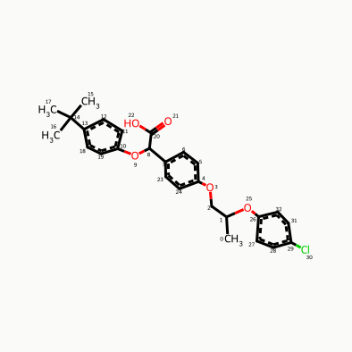 CC(COc1ccc(C(Oc2ccc(C(C)(C)C)cc2)C(=O)O)cc1)Oc1ccc(Cl)cc1